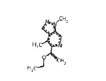 C=C(OCC)c1ncc2c(cnn2C)c1C